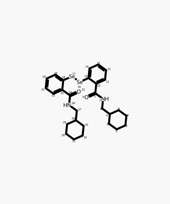 O=C(NCC1CCCCC1)c1ccccc1[Se][Se]c1ccccc1C(=O)NCC1CCCCC1